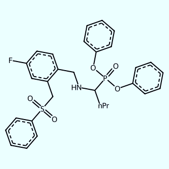 CCCC(NCc1ccc(F)cc1CS(=O)(=O)c1ccccc1)P(=O)(Oc1ccccc1)Oc1ccccc1